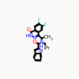 CC(C)CN(C(=O)c1cc2ccccc2[nH]1)C(C)c1n[nH]c(=O)c2cc(F)c(F)cc12